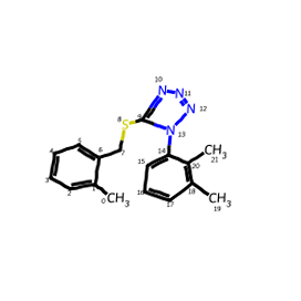 Cc1ccccc1CSc1nnnn1-c1cccc(C)c1C